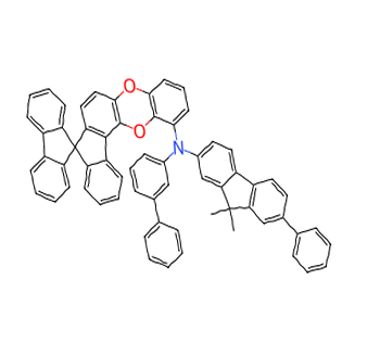 CC1(C)c2cc(-c3ccccc3)ccc2-c2ccc(N(c3cccc(-c4ccccc4)c3)c3cccc4c3Oc3c(ccc5c3-c3ccccc3C53c5ccccc5-c5ccccc53)O4)cc21